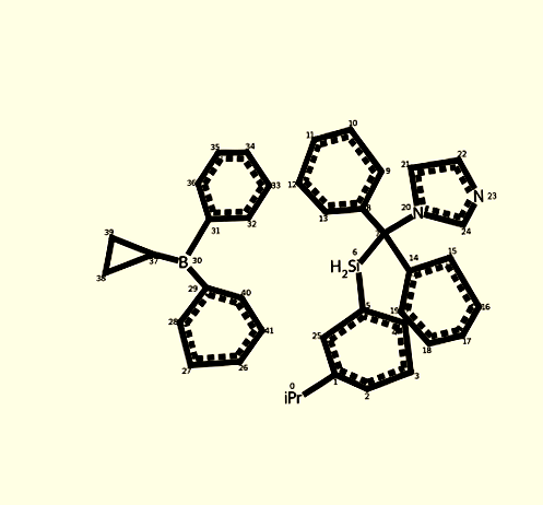 CC(C)c1cccc([SiH2]C(c2ccccc2)(c2ccccc2)n2ccnc2)c1.c1ccc(B(c2ccccc2)C2CC2)cc1